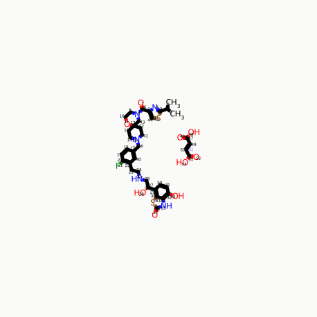 CC(C)c1nc(C(=O)N2CCOC3(CCN(Cc4ccc(F)c(CCNC[C@H](O)c5ccc(O)c6[nH]c(=O)sc56)c4)CC3)C2)cs1.O=C(O)/C=C/C(=O)O